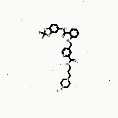 CN1CCN(CCCNC(=O)c2cc(CNc3ccccc3C(=O)Nc3ccc4c(c3)OC(F)(F)O4)ccn2)CC1